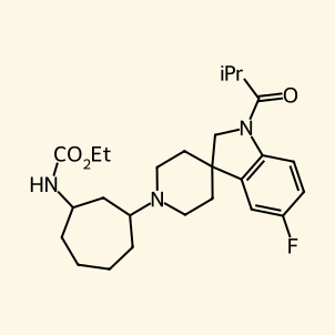 CCOC(=O)NC1CCCCC(N2CCC3(CC2)CN(C(=O)C(C)C)c2ccc(F)cc23)C1